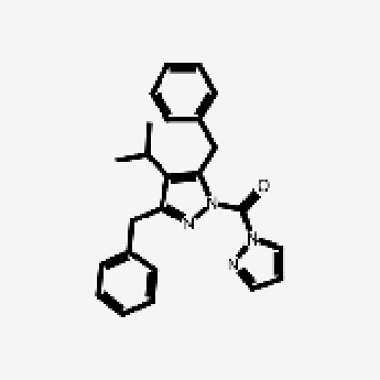 CC(C)c1c(Cc2ccccc2)nn(C(=O)n2cccn2)c1Cc1ccccc1